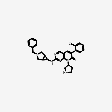 O=c1c(-c2ccccc2Cl)cc2cnc(NC3C4CN(Cc5ccccc5)CC43)nc2n1C1CCNC1